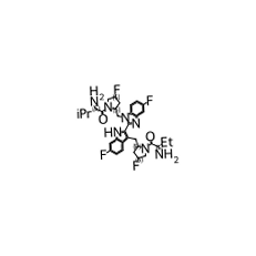 CC[C@H](N)C(=O)N1C[C@@H](F)C[C@H]1Cc1c(-c2nc3cc(F)ccc3n2C[C@@H]2C[C@H](F)CN2C(=O)[C@@H](N)C(C)C)[nH]c2cc(F)ccc12